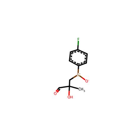 CC(O)(C=O)C[S+]([O-])c1ccc(F)cc1